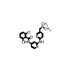 CN(C)Cc1ccc(Nc2cc(NC(=O)c3c(Cl)cccc3Cl)ccn2)nc1